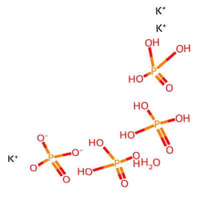 O.O=P(O)(O)O.O=P(O)(O)O.O=P(O)(O)O.O=P([O-])([O-])[O-].[K+].[K+].[K+]